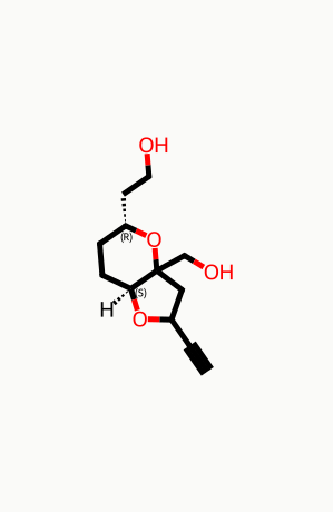 C#CC1CC2(CO)O[C@@H](CCO)CC[C@@H]2O1